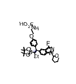 CC/C(B1OC(C)(C)C(C)(C)O1)=C(/c1ccc(OCCNC(=O)O)cc1)c1ccc2c(c1)c(F)nn2C1CCCCO1